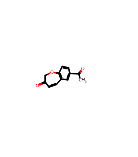 CC(=O)c1ccc2c(c1)C=CC(=O)CO2